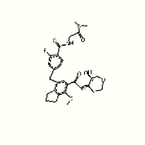 COc1c(C(=O)/N=C2/CCOC[C@@H]2O)cc(Cc2ccc(C(=O)NCC(=O)N(C)C)c(F)c2)c2c1CCC2